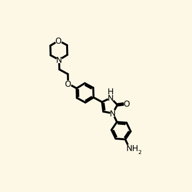 Nc1ccc(-n2cc(-c3ccc(OCCN4CCOCC4)cc3)[nH]c2=O)cc1